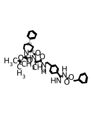 C[C@H](NC(=O)[C@H]1C[C@@H](c2ccccc2)CCN1C(=O)OC(C)(C)C)C(=O)NCc1ccc(C(=N)NC(=O)OCc2ccccc2)cc1